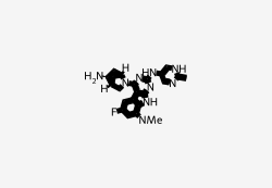 C=C1N=CC(Nc2nc(N3C[C@H]4C[C@@H]3C[C@H]4N)c3c(n2)[nH]c2c(NC)cc(F)cc23)=CN1